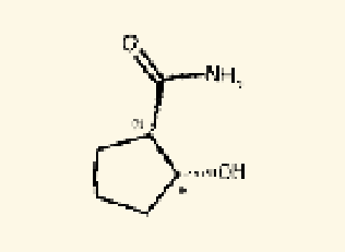 NC(=O)[C@@H]1CCC[C@H]1O